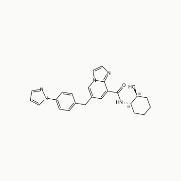 O=C(N[C@H]1CCCC[C@@H]1O)c1cc(Cc2ccc(-n3cccn3)cc2)cn2ccnc12